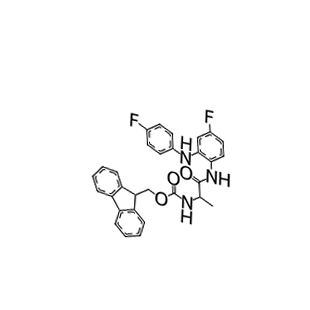 CC(NC(=O)OCC1c2ccccc2-c2ccccc21)C(=O)Nc1ccc(F)cc1Nc1ccc(F)cc1